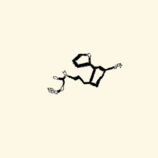 CC(C)c1ccc(CCCNC(=O)OC(C)(C)C)c(-c2ccco2)c1